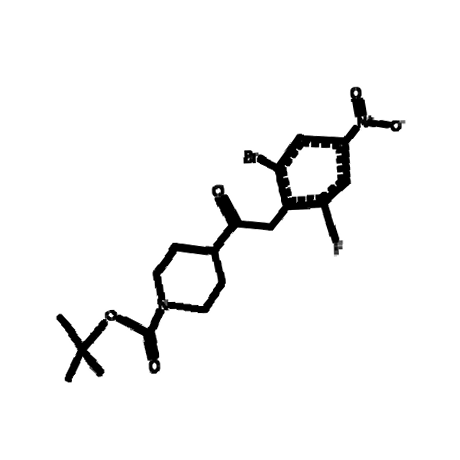 CC(C)(C)OC(=O)N1CCC(C(=O)Cc2c(F)cc([N+](=O)[O-])cc2Br)CC1